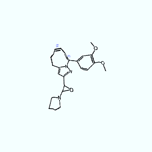 COc1ccc(/C2=C/C=C\CCc3cc(C4OC4N4CCCC4)nn32)cc1OC